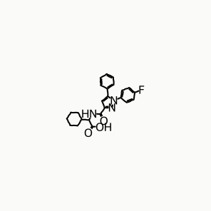 O=C(NC(C(=O)O)C1CCCCC1)c1cc(-c2ccccc2)n(-c2ccc(F)cc2)n1